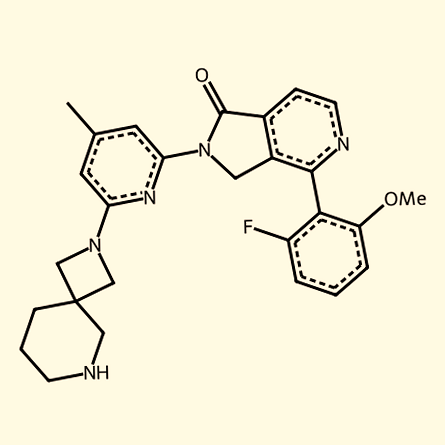 COc1cccc(F)c1-c1nccc2c1CN(c1cc(C)cc(N3CC4(CCCNC4)C3)n1)C2=O